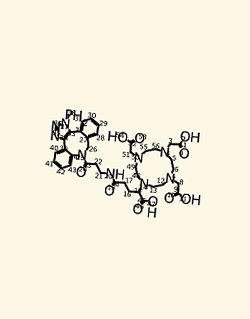 O=C(O)CN1CCN(CC(=O)O)CCN(C(CCC(=O)NCCC(=O)N2Cc3ccccc3-c3c(nnn3P)-c3ccccc32)C(=O)O)CCN(CC(=O)O)CC1